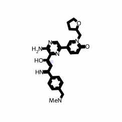 CNCc1ccc(C(=N)/C=C(\O)c2nc(-c3ccc(=O)n(CC4CCCO4)c3)cnc2N)cc1